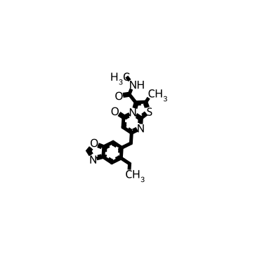 CCc1cc2ncoc2cc1Cc1cc(=O)n2c(C(=O)NC)c(C)sc2n1